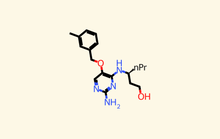 CCC[C@@H](CCO)Nc1nc(N)ncc1OCc1cccc(C)c1